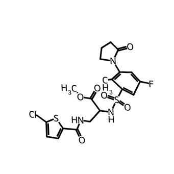 COC(=O)C(CNC(=O)c1ccc(Cl)s1)NS(=O)(=O)c1cc(F)cc(N2CCCC2=O)c1C